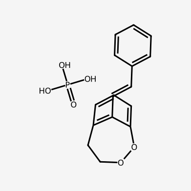 C(=Cc1c2cccc1OOCC2)c1ccccc1.O=P(O)(O)O